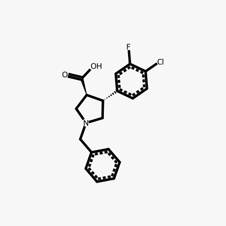 O=C(O)[C@@H]1CN(Cc2ccccc2)C[C@H]1c1ccc(Cl)c(F)c1